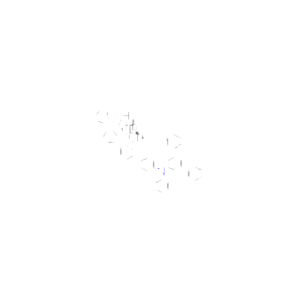 CC1(C)c2ccccc2-c2ccc3c(c21)C(C)(C)c1cc(-c2ccc(N(c4ccccc4)c4cc(-c5ccccc5)cc(-c5ccccc5)c4)cc2)ccc1-3